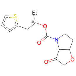 CC[C@@H](Cc1cccs1)OC(=O)N1CCC2OCC(=O)C21